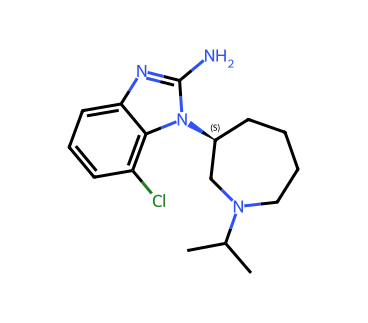 CC(C)N1CCCC[C@H](n2c(N)nc3cccc(Cl)c32)C1